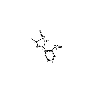 COc1ccccc1C1=NC(C)C(=O)O1